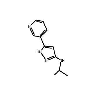 CC(C)Nc1cc(-c2cccnc2)[nH]n1